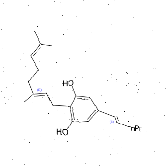 CCC/C=C/c1cc(O)c(C/C=C(\C)CCC=C(C)C)c(O)c1